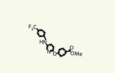 COC(=O)c1ccc(Oc2ccc(NCc3ccc(C(F)(F)F)cc3)cn2)cc1